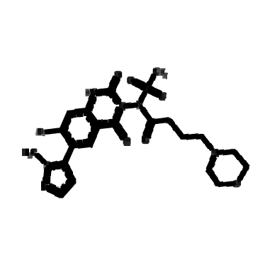 CC(C)c1cc2[nH]c(=O)n(N(C(=O)CCCN3CCOCC3)S(C)(=O)=O)c(=O)c2cc1-c1ccnn1C